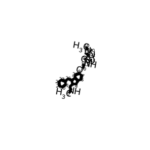 CNCC1Cc2ccc(OCCNS(=O)(=O)c3cn(C)cn3)cc2C1Cc1ccccc1